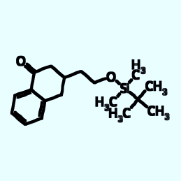 CC(C)(C)[Si](C)(C)OCCC1CC(=O)c2ccccc2C1